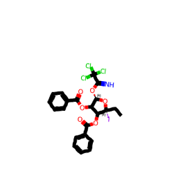 CC[C@]1(I)O[C@@H](OC(=N)C(Cl)(Cl)Cl)C(OC(=O)c2ccccc2)C1OC(=O)c1ccccc1